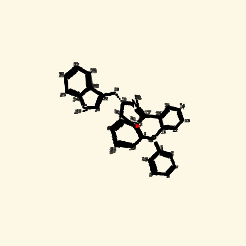 c1ccc(P(c2ccccc2)c2ccccc2C2=N[C@@H](Cc3csc4ccccc34)CO2)cc1